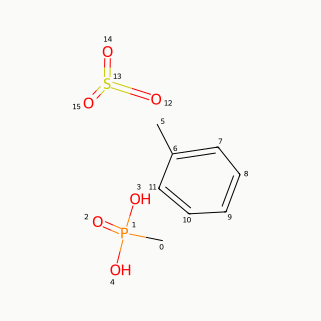 CP(=O)(O)O.Cc1ccccc1.O=S(=O)=O